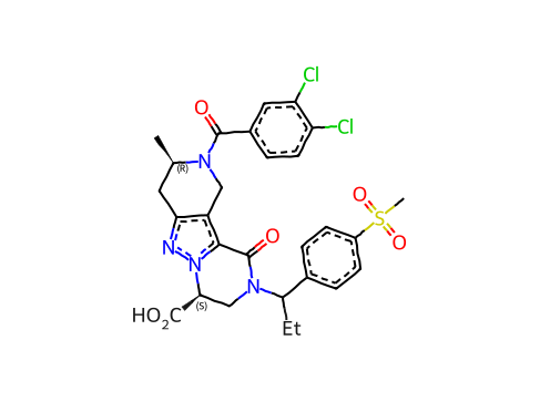 CCC(c1ccc(S(C)(=O)=O)cc1)N1C[C@@H](C(=O)O)n2nc3c(c2C1=O)CN(C(=O)c1ccc(Cl)c(Cl)c1)[C@H](C)C3